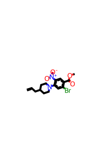 C=CCC1CCN(c2cc(Br)c(C(=O)OC)cc2[N+](=O)[O-])CC1